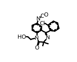 CC1(C)N=C(c2ccccc2Cl)c2cc(N=C=O)ccc2N(CCO)C1=O